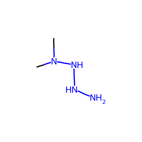 CN(C)NNN